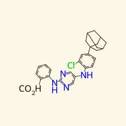 O=C(O)c1ccccc1Nc1ncc(Nc2ccc(C34CC5CC(CC(C5)C3)C4)cc2Cl)cn1